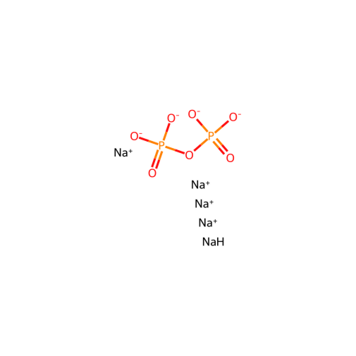 O=P([O-])([O-])OP(=O)([O-])[O-].[Na+].[Na+].[Na+].[Na+].[NaH]